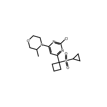 CC1COCCN1c1cc(C2(S(=O)(=O)C3CC3)CCC2)nc(Cl)n1